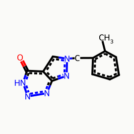 Cc1ccccc1Cn1cc2c(=O)[nH]nnc2n1